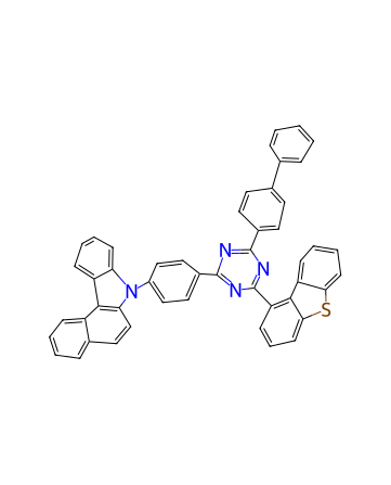 c1ccc(-c2ccc(-c3nc(-c4ccc(-n5c6ccccc6c6c7ccccc7ccc65)cc4)nc(-c4cccc5sc6ccccc6c45)n3)cc2)cc1